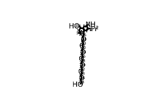 CC(C)c1cc2c(cc1N)C(CO)CC(C)(C)N2CCOCCOCCOCCOCCOCCOCCOCCO